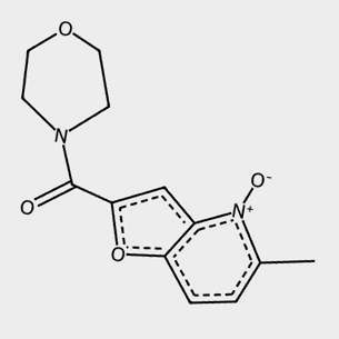 Cc1ccc2oc(C(=O)N3CCOCC3)cc2[n+]1[O-]